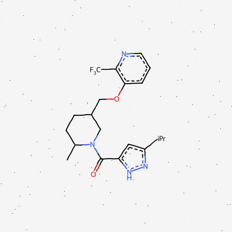 CC(C)c1cc(C(=O)N2CC(COc3cccnc3C(F)(F)F)CCC2C)[nH]n1